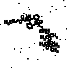 COCCOC(=O)Cn1nnc2c1-c1ccccc1CN(C(=O)CCC(=O)NCCC(C)(C)OCC(C)(C)C(=O)C(C)C)c1ccccc1-2